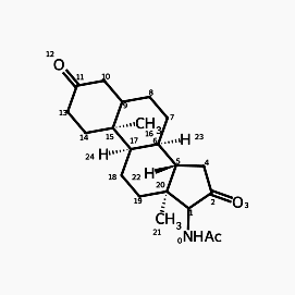 CC(=O)NC1C(=O)C[C@H]2[C@@H]3CCC4CC(=O)CC[C@]4(C)[C@@H]3CC[C@]12C